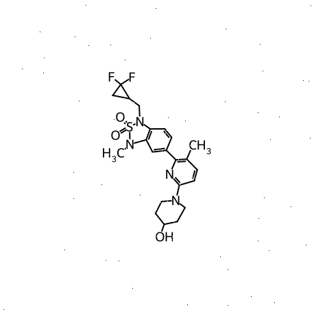 Cc1ccc(N2CCC(O)CC2)nc1-c1ccc2c(c1)N(C)S(=O)(=O)N2CC1CC1(F)F